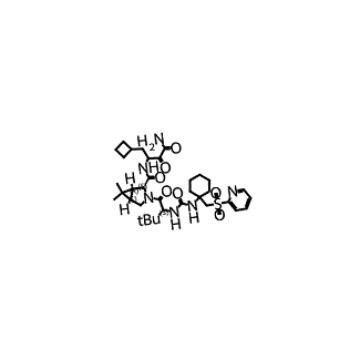 CC(C)(C)[C@H](NC(=O)NC1(CS(=O)(=O)c2ccccn2)CCCCC1)C(=O)N1C[C@H]2[C@@H]([C@H]1C(=O)NC(CC1CCC1)C(=O)C(N)=O)C2(C)C